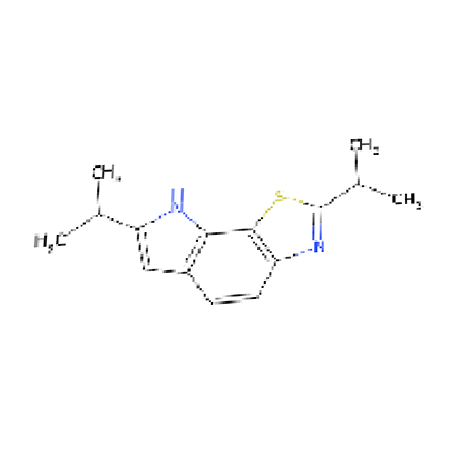 CC(C)c1cc2ccc3nc(C(C)C)sc3c2[nH]1